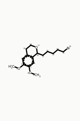 COc1cc2c(cc1OC)C(CCCCCBr)OCC2